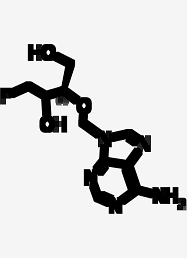 Nc1ncnc2c1ncn2CO[C@H](CO)C(O)CF